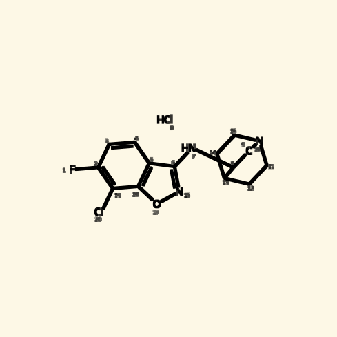 Cl.Fc1ccc2c(NC3CN4CCC3CC4)noc2c1Cl